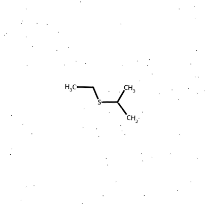 [CH2]C(C)SCC